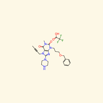 CC#CCn1c(N2CCNCC2)nc2c1c(=O)n(C)c(=O)n2CCCOCc1ccccc1.O=C(O)C(F)(F)F